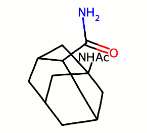 CC(=O)NC12CC3CC(C1)C(C(N)=O)C(C3)C2